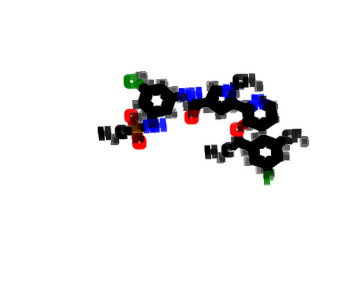 C[C@@H](Oc1cccnc1-c1cc(C(=O)Nc2cc(Cl)cc(NS(C)(=O)=O)c2)cn1C)c1cc(F)cc(C(F)(F)F)c1